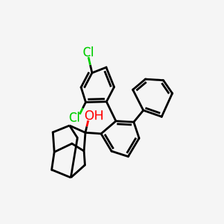 OC1(c2cccc(-c3ccccc3)c2-c2ccc(Cl)cc2Cl)C2CC3CC(C2)CC1C3